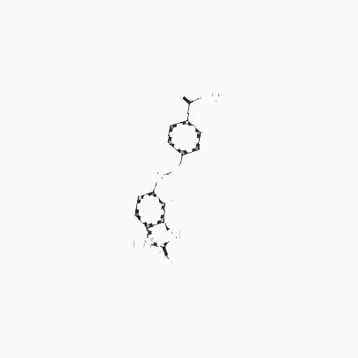 COC(=O)c1ccc(SNc2ccc3[nH]c(=O)[nH]c3c2)cc1